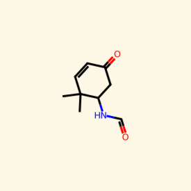 CC1(C)C=CC(=O)CC1NC=O